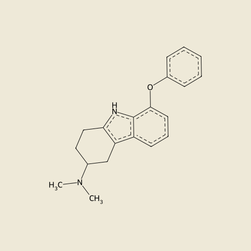 CN(C)C1CCc2[nH]c3c(Oc4ccccc4)cccc3c2C1